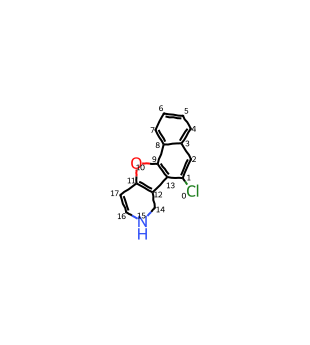 Clc1cc2ccccc2c2oc3c(c12)CNC=C3